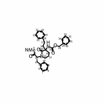 CNC(=O)[C@H](Cc1ccccc1)N1CCCC(CCc2ccccc2)(NC(=O)OCc2ccccc2)C1=O